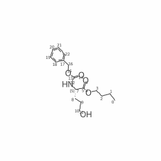 CCCCOC(=O)[C@H](CCCO)NC(=O)OCc1ccccc1